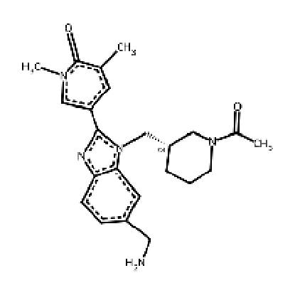 CC(=O)N1CCC[C@H](Cn2c(-c3cc(C)c(=O)n(C)c3)nc3ccc(CN)cc32)C1